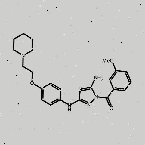 COc1cccc(C(=O)n2nc(Nc3ccc(OCCN4CCCCC4)cc3)nc2N)c1